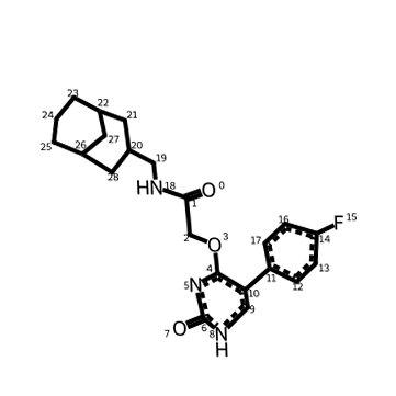 O=C(COc1nc(=O)[nH]cc1-c1ccc(F)cc1)NCC1CC2CCCC(C2)C1